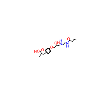 CCCC(=O)NCCNCC(O)COc1ccc(CC(C)C(=O)O)cc1